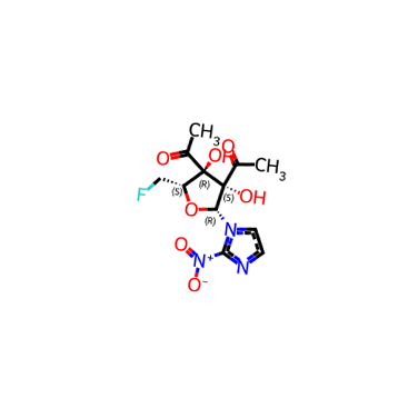 CC(=O)[C@@]1(O)[C@@H](CF)O[C@@H](n2ccnc2[N+](=O)[O-])[C@]1(O)C(C)=O